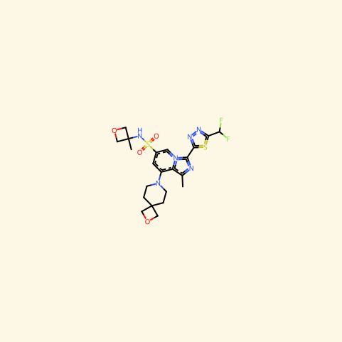 Cc1nc(-c2nnc(C(F)F)s2)n2cc(S(=O)(=O)NC3(C)COC3)cc(N3CCC4(CC3)COC4)c12